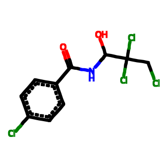 O=C(NC(O)C(Cl)(Cl)CCl)c1ccc(Cl)cc1